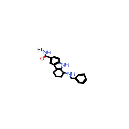 CCNC(=O)c1ccc2[nH]c3c(c2c1)CCCC3NCc1ccccc1